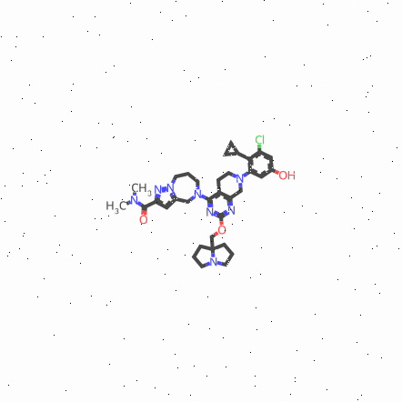 CN(C)C(=O)c1cc2n(n1)CCCN(c1nc(OCC34CCCN3CCC4)nc3c1CCN(c1cc(O)cc(Cl)c1C1CC1)C3)C2